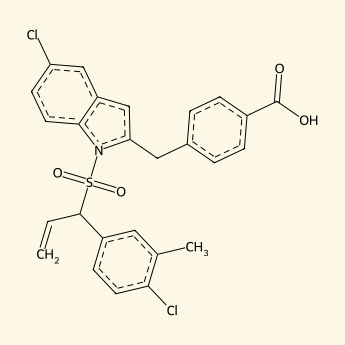 C=CC(c1ccc(Cl)c(C)c1)S(=O)(=O)n1c(Cc2ccc(C(=O)O)cc2)cc2cc(Cl)ccc21